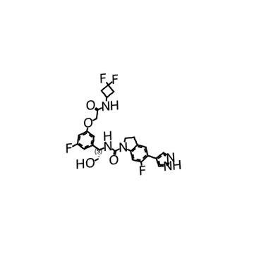 O=C(COc1cc(F)cc([C@@H](CO)NC(=O)N2CCc3cc(-c4cn[nH]c4)c(F)cc32)c1)NC1CC(F)(F)C1